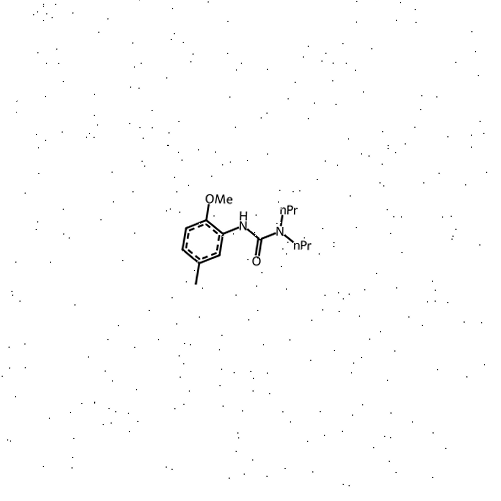 CCCN(CCC)C(=O)Nc1cc(C)ccc1OC